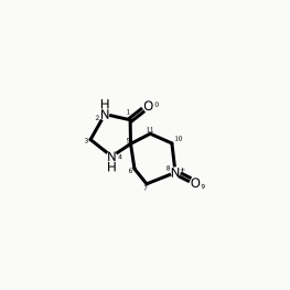 O=C1NCNC12CC[N+](=O)CC2